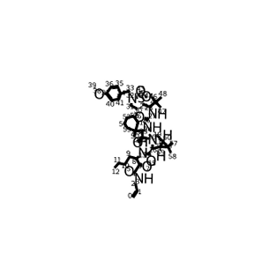 C=CCNC(=O)C(=O)C(CCCC)NC(=O)[C@@H]1[C@@H]2[C@H](CN1C(=O)[C@@H](NC(=O)N[C@@H]([C@@H]1CCN(Cc3ccc(OC)cc3)S1(=O)=O)C(C)(C)C)C1(C)CCCCC1)C2(C)C